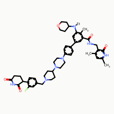 CCN(c1cc(-c2ccc(N3CCN(C4CCN(Cc5ccc(C6CCC(=O)NC6=O)c(F)c5)CC4)CC3)cc2)cc(C(=O)NCc2c(C)cc(C)[nH]c2=O)c1C)C1CCOCC1